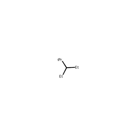 CCC(CC)[C](C)C